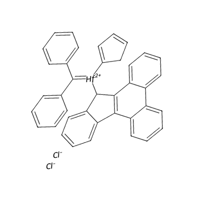 C1=CC[C]([Hf+2](=[C](c2ccccc2)c2ccccc2)[CH]2c3ccccc3-c3c2c2ccccc2c2ccccc32)=C1.[Cl-].[Cl-]